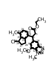 CCOC(=O)CC(c1cc(OC)c2c(c1)nnn2C)c1ccc(C)c2c1CCC2Cl